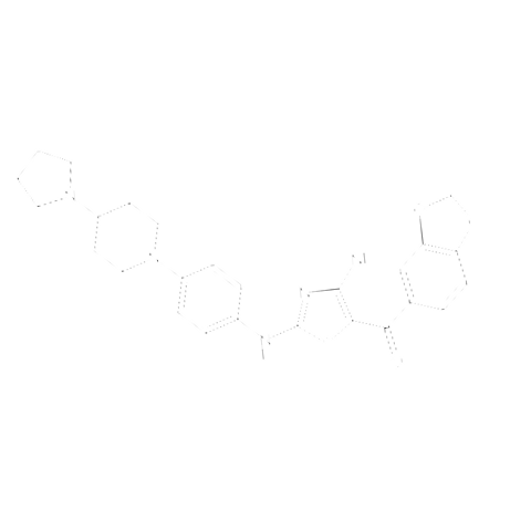 Nc1nc(Nc2ccc(N3CCC(N4CCCC4)CC3)cc2)sc1C(=O)c1ccc2c(c1)OCO2